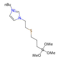 CCCC[n+]1ccn(CCSCCC[Si](OC)(OC)OC)c1